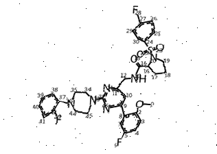 COc1ccc(F)cc1-c1cc(CNC(=O)C2CCCN2S(=O)(=O)c2ccc(F)cc2)nc(N2CCN(c3ccccc3F)CC2)n1